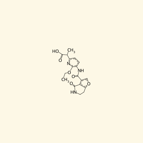 CCOc1nc(C(C)C(=O)O)ccc1NC(=O)c1coc2c1C(=O)NCC2